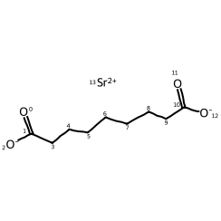 O=C([O-])CCCCCCCC(=O)[O-].[Sr+2]